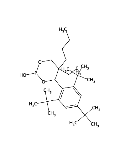 CCCCC1(CC)COP(O)OC1c1c(C(C)(C)C)cc(C(C)(C)C)cc1C(C)(C)C